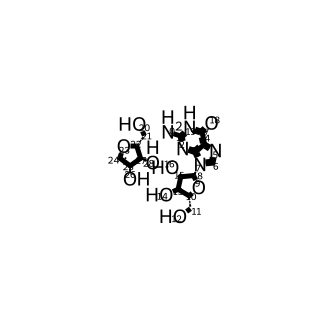 Nc1nc2c(ncn2[C@@H]2O[C@H](CO)C(O)C2O)c(=O)[nH]1.OC[C@H]1O[CH][C@@H](O)[C@@H]1O